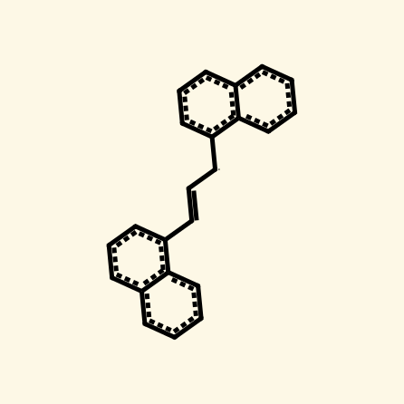 [CH](C=Cc1cccc2ccccc12)c1cccc2ccccc12